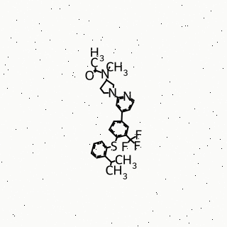 CC(=O)N(C)C1CCN(c2cc(-c3ccc(Sc4ccccc4C(C)C)c(C(F)(F)F)c3)ccn2)C1